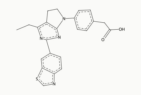 CCc1nc(-c2ccc3ncsc3c2)nc2c1CCN2c1ccc(CC(=O)O)cc1